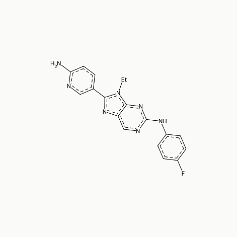 CCn1c(-c2ccc(N)nc2)nc2cnc(Nc3ccc(F)cc3)nc21